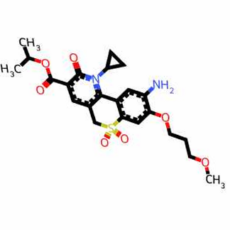 COCCCOc1cc2c(cc1N)-c1c(cc(C(=O)OC(C)C)c(=O)n1C1CC1)CS2(=O)=O